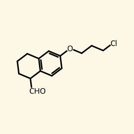 O=CC1CCCc2cc(OCCCCl)ccc21